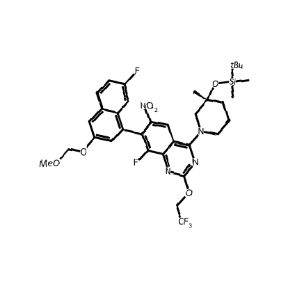 COCOc1cc(-c2c([N+](=O)[O-])cc3c(N4CCC[C@@](C)(O[Si](C)(C)C(C)(C)C)C4)nc(OCC(F)(F)F)nc3c2F)c2cc(F)ccc2c1